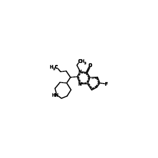 CCCC(c1nc2ccc(F)cc2c(=O)n1CC)C1CCCNCC1